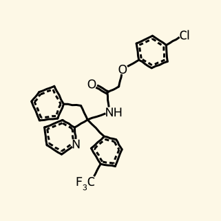 O=C(COc1ccc(Cl)cc1)NC(Cc1ccccc1)(c1cccc(C(F)(F)F)c1)c1ccccn1